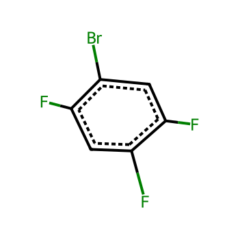 Fc1cc(F)c(Br)cc1F